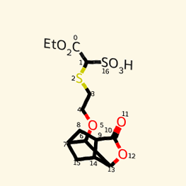 CCOC(=O)C(SCCOC1C2CC3C(=O)OC1C3C2)S(=O)(=O)O